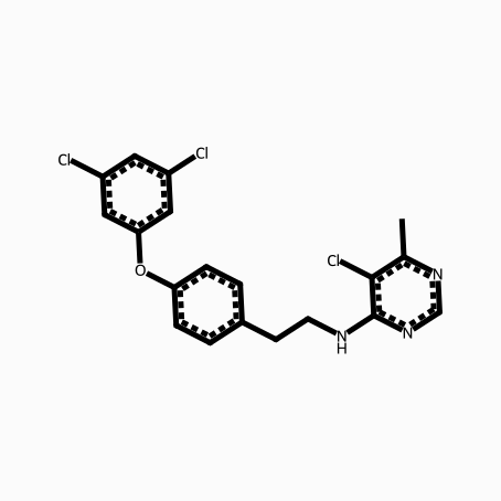 Cc1ncnc(NCCc2ccc(Oc3cc(Cl)cc(Cl)c3)cc2)c1Cl